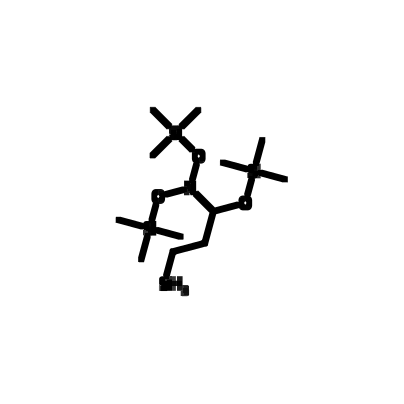 C[Si](C)(C)OC(CC[SiH3])N(O[Si](C)(C)C)O[Si](C)(C)C